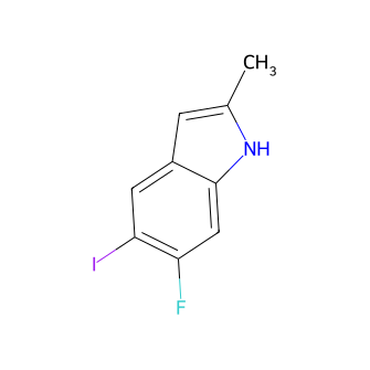 Cc1cc2cc(I)c(F)cc2[nH]1